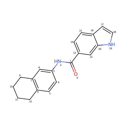 O=C(Nc1ccc2c(c1)CCCC2)c1ccc2cc[nH]c2c1